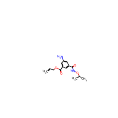 C=CCOC(=O)c1cc(N)cc(C(=O)NOC(C)C)c1